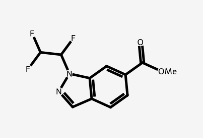 COC(=O)c1ccc2cnn(C(F)C(F)F)c2c1